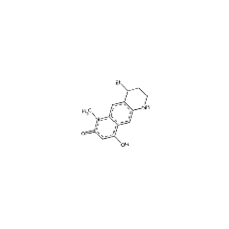 CCC1CCNc2cc3c(O)cc(=O)n(C)c3cc21